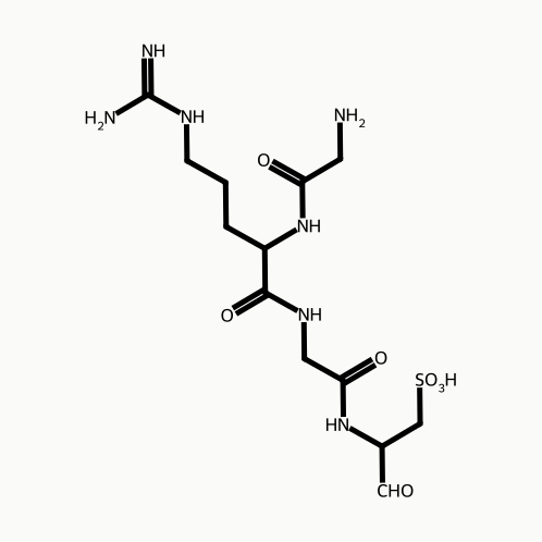 N=C(N)NCCCC(NC(=O)CN)C(=O)NCC(=O)NC(C=O)CS(=O)(=O)O